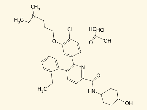 CCc1ccccc1-c1ccc(C(=O)NC2CCC(O)CC2)nc1-c1ccc(Cl)c(OCCCN(C)CC)c1.Cl.O=C(O)O